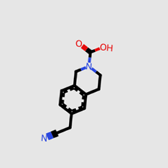 N#CCc1ccc2c(c1)CCN(C(=O)O)C2